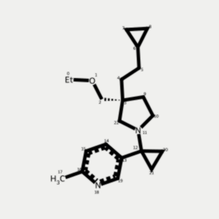 CCOC[C@]1(CCC2CC2)CCN(C2(c3ccc(C)nc3)CC2)C1